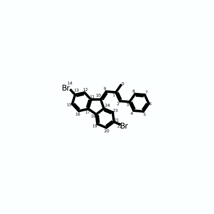 CC(=Cc1ccccc1)C=C1c2cc(Br)ccc2-c2ccc(Br)cc21